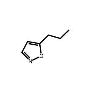 [CH2]CCc1ccno1